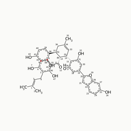 CC(C)=CCc1c(O)ccc(C(=O)[C@H]2[C@@H](c3c(O)cc(-c4cc5ccc(O)cc5o4)cc3O)C=C(C)C[C@@H]2c2ccc(O)cc2O)c1O